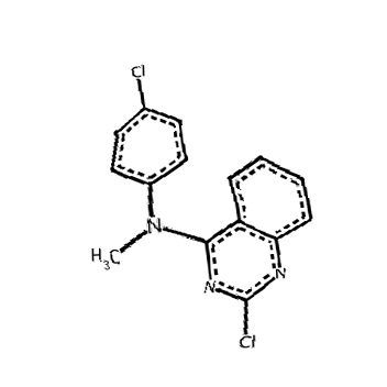 CN(c1ccc(Cl)cc1)c1nc(Cl)nc2ccccc12